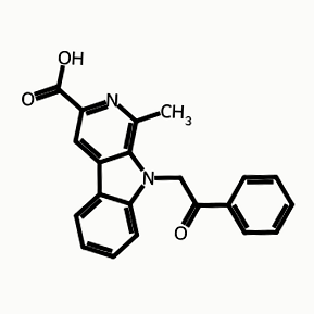 Cc1nc(C(=O)O)cc2c3ccccc3n(CC(=O)c3ccccc3)c12